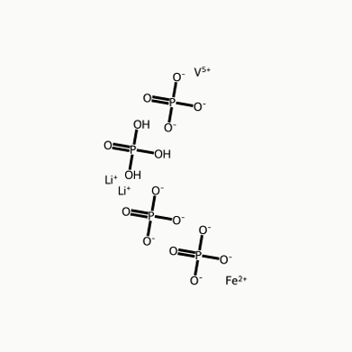 O=P(O)(O)O.O=P([O-])([O-])[O-].O=P([O-])([O-])[O-].O=P([O-])([O-])[O-].[Fe+2].[Li+].[Li+].[V+5]